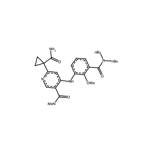 CCCCN(CCCC)C(=O)c1cccc(Nc2cc(C3(C(N)=O)CC3)ncc2C(=O)NC)c1OC